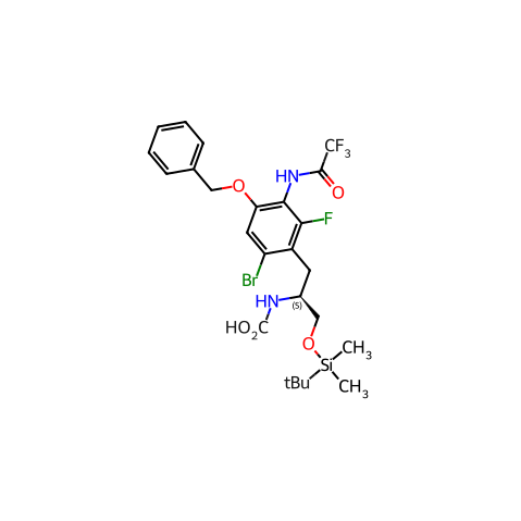 CC(C)(C)[Si](C)(C)OC[C@H](Cc1c(Br)cc(OCc2ccccc2)c(NC(=O)C(F)(F)F)c1F)NC(=O)O